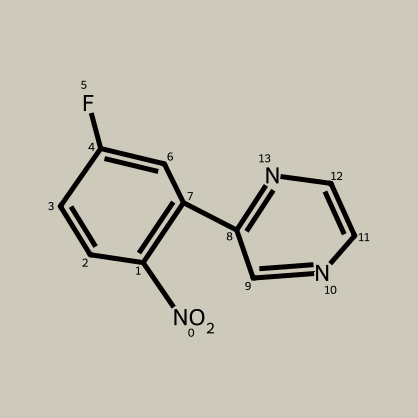 O=[N+]([O-])c1ccc(F)cc1-c1cnccn1